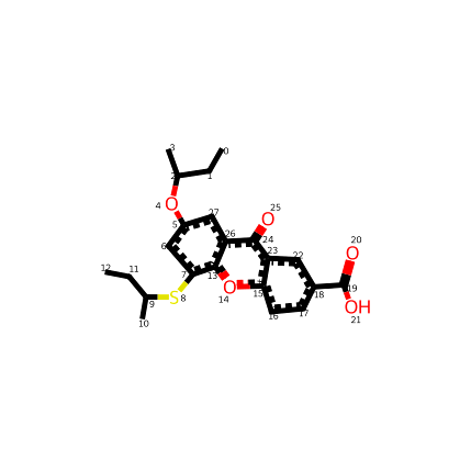 CCC(C)Oc1cc(SC(C)CC)c2oc3ccc(C(=O)O)cc3c(=O)c2c1